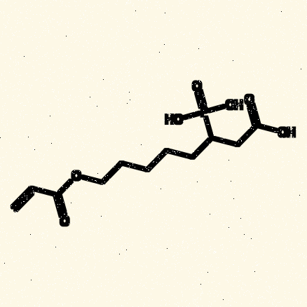 C=CC(=O)OCCCCCC(CC(=O)O)P(=O)(O)O